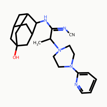 CC(/C(=N\C#N)NC1C2CC3CC1CC(O)(C3)C2)N1CCN(c2ccccn2)CC1